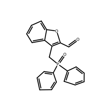 O=Cc1oc2ccccc2c1CP(=O)(c1ccccc1)c1ccccc1